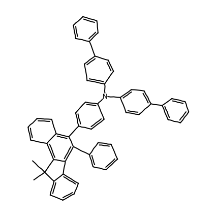 CC1(C)c2ccccc2-c2c(-c3ccccc3)c(-c3ccc(N(c4ccc(-c5ccccc5)cc4)c4ccc(-c5ccccc5)cc4)cc3)c3ccccc3c21